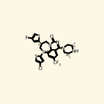 C[C@@H]1CN(c2nc(=O)n3c4c(cc(C(F)(F)F)cc24)[SH](c2cc(Cl)cs2)C[C@@H](c2cc(F)cs2)C3)C[C@H](C)N1